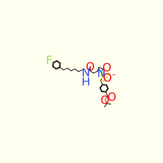 CC(C)OC(=O)c1ccc(C[S+]([O-])N2C(=O)CC2CC(=O)NCCCCCCc2ccc(F)cc2)cc1